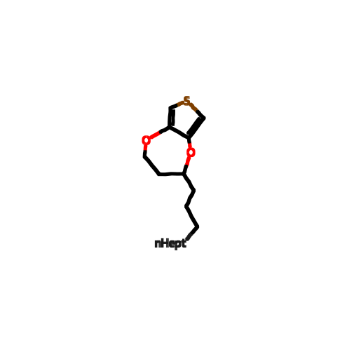 CCCCCCCCCCC1CCOc2cscc2O1